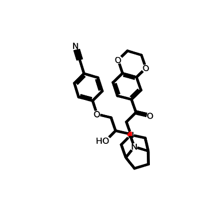 N#Cc1ccc(OCC(O)CN2C3CCC2CN(CC(=O)c2ccc4c(c2)OCCO4)C3)cc1